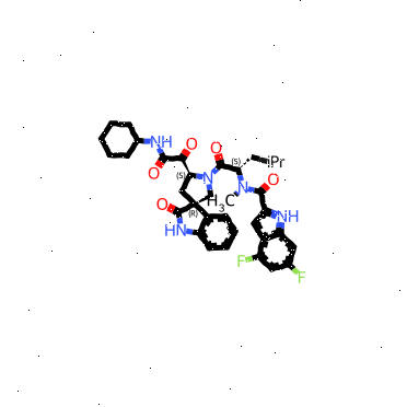 CC(C)C[C@@H](C(=O)N1C[C@]2(C[C@H]1C(=O)C(=O)NC1CCCCC1)C(=O)Nc1ccccc12)N(C)C(=O)c1cc2c(F)cc(F)cc2[nH]1